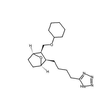 C1CCC(OC[C@H]2[C@@H](CCCCc3nnn[nH]3)[C@H]3CC[C@@H]2O3)CC1